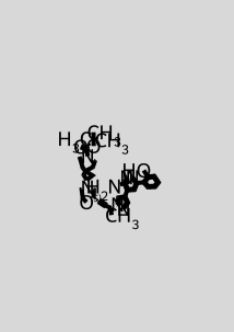 CC(C#C[C@H]1CN(C2CC3(CCN(C(=O)OC(C)(C)C)CC3)C2)CCO1)n1cc(-c2cc(-c3ccccc3O)nnc2N)cn1